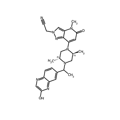 CC(c1ccc2ncc(O)nc2c1)N1C[C@H](C)N(c2cc(=O)n(C)c3cn(CC#N)nc23)C[C@H]1C